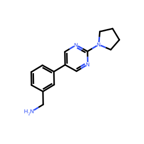 NCc1cccc(-c2cnc(N3CCCC3)nc2)c1